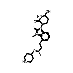 C[C@H](CCc1cccc2c1n(C)c(=O)n2C1CCC(O)NC1=O)OC1CCNCC1